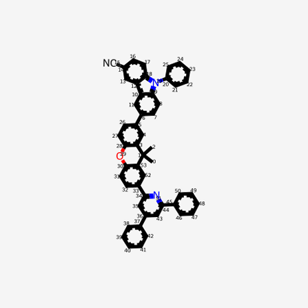 CC1(C)c2cc(-c3ccc4c(c3)c3cc(C#N)ccc3n4-c3ccccc3)ccc2Oc2ccc(-c3cc(-c4ccccc4)cc(-c4ccccc4)n3)cc21